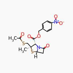 CC(=O)SC[C@]1(C)S[C@H]2CC(=O)N2[C@H]1C(=O)OCc1ccc([N+](=O)[O-])cc1